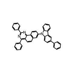 c1ccc(-c2ccc3c(c2)c2ccccc2n3-c2ccc3c(ccc4c(-c5ccccc5)nc(-c5ccccc5)nc43)c2)cc1